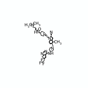 Cc1c(CN2CCC(Nc3ncnc4sc(CC(F)(F)F)cc34)CC2)ccc2c1cc(C#N)n2CCN1CCC(NC(=O)/C=C/CN(C)C)CC1